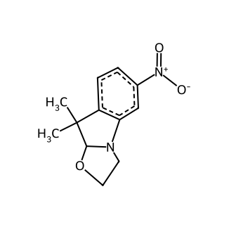 CC1(C)c2ccc([N+](=O)[O-])cc2N2CCOC21